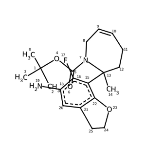 CC(C)(C)OC(=O)N1CC=CCCC1(C)c1c(F)c(N)cc2c1OCC2